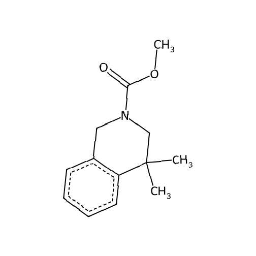 COC(=O)N1Cc2ccccc2C(C)(C)C1